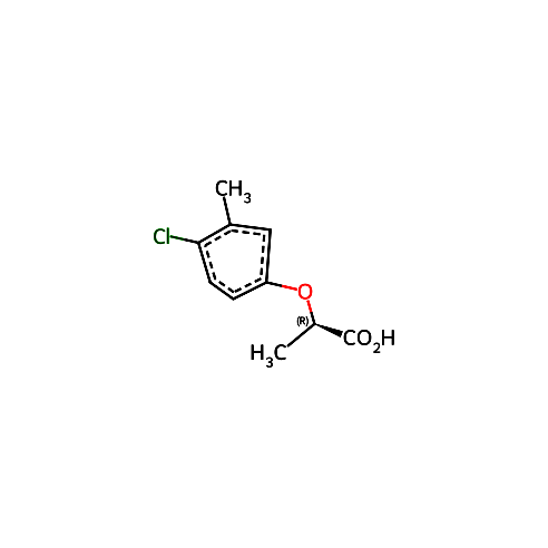 Cc1cc(O[C@H](C)C(=O)O)ccc1Cl